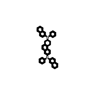 c1ccc(N(c2ccc3ccccc3c2)c2ccc3c4c(ccc3c2)CC(N(c2ccccc2)c2ccc3ccccc3c2)CC4)cc1